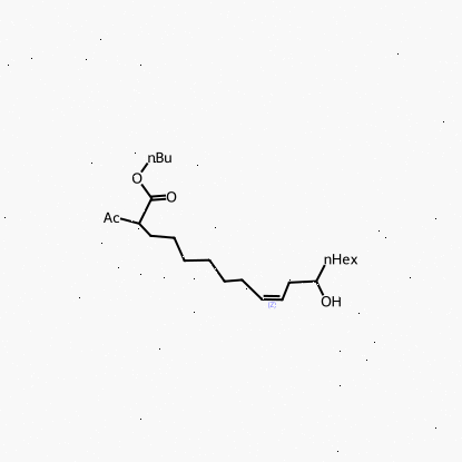 CCCCCCC(O)C/C=C\CCCCCCC(C(C)=O)C(=O)OCCCC